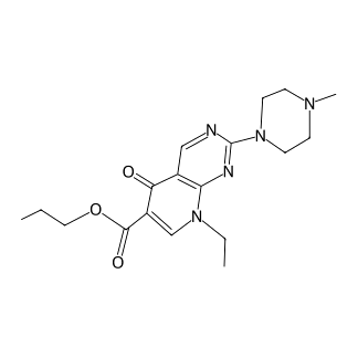 CCCOC(=O)c1cn(CC)c2nc(N3CCN(C)CC3)ncc2c1=O